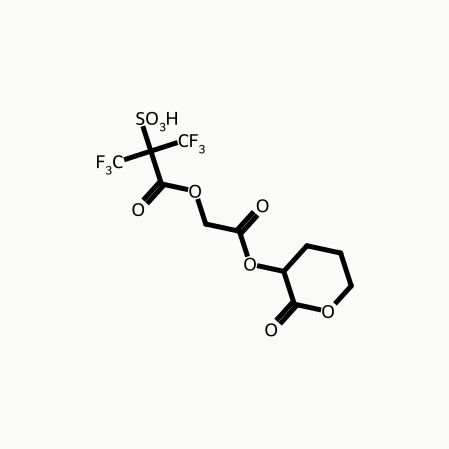 O=C(COC(=O)C(C(F)(F)F)(C(F)(F)F)S(=O)(=O)O)OC1CCCOC1=O